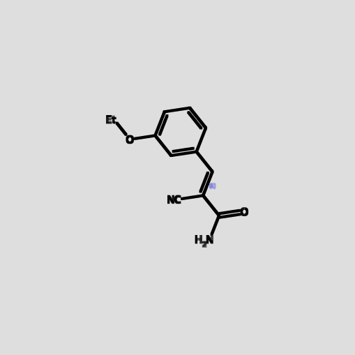 CCOc1cccc(/C=C(\C#N)C(N)=O)c1